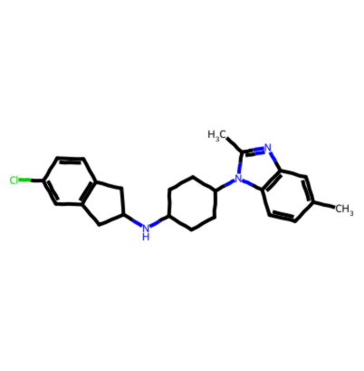 Cc1ccc2c(c1)nc(C)n2C1CCC(NC2Cc3ccc(Cl)cc3C2)CC1